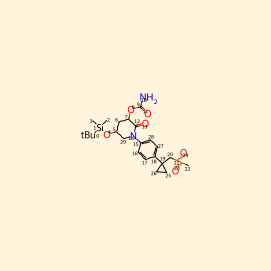 CC(C)(C)[Si](C)(C)OC1CC(OC(N)=O)C(=O)N(c2ccc(C3(CS(C)(=O)=O)CC3)cc2)C1